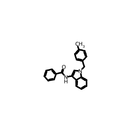 Cc1ccc(Cn2cc(NC(=O)c3ccccc3)c3ccccc32)cc1